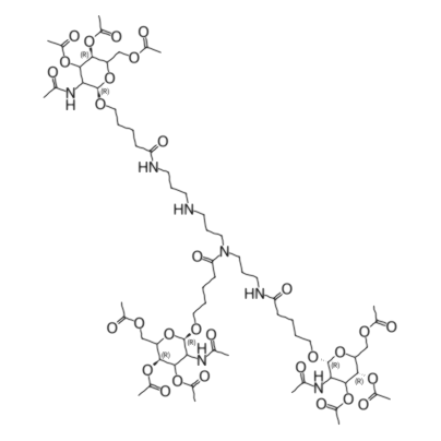 CC(=O)NC1C(OC(C)=O)[C@@H](OC(C)=O)C(COC(C)=O)O[C@H]1OCCCCC(=O)NCCCNCCCN(CCCNC(=O)CCCCO[C@@H]1OC(COC(C)=O)[C@H](OC(C)=O)C(OC(C)=O)C1NC(C)=O)C(=O)CCCCO[C@@H]1OC(COC(C)=O)[C@H](OC(C)=O)C(OC(C)=O)C1NC(C)=O